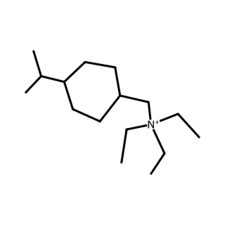 CC[N+](CC)(CC)CC1CCC(C(C)C)CC1